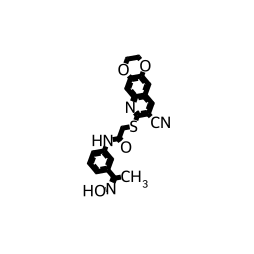 C/C(=N/O)c1cccc(NC(=O)CSc2nc3cc4c(cc3cc2C#N)OCCO4)c1